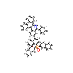 O=P(c1ccc2ccccc2c1)(c1ccc2ccccc2c1)c1ccc(-c2ccc3c(c2)c(-c2ccccc2)nc2c4ccccc4c4ccccc4c32)c2ccccc12